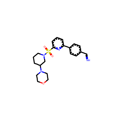 N=Cc1ccc(-c2cccc(S(=O)(=O)N3CCCC(N4CCOCC4)C3)n2)cc1